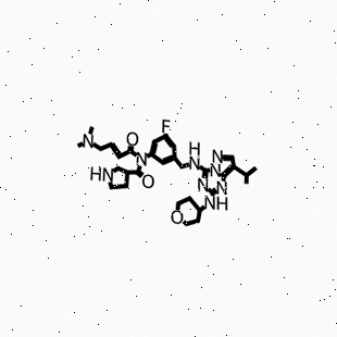 CC(C)c1cnn2c(NCc3cc(F)cc(N(C(=O)C=CCN(C)C)C(=O)C4CCNC4)c3)nc(NC3CCOCC3)nc12